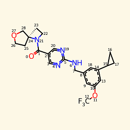 O=C(c1cnc(NCc2cc(OC(F)(F)F)cc(C3CC3)c2)nc1)N1CC[C@@]12CCOC2